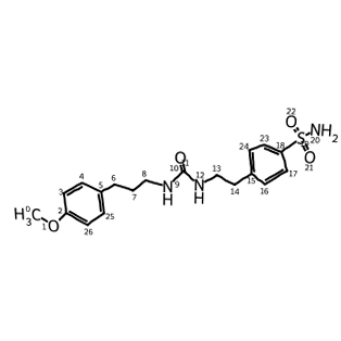 COc1ccc(CCCNC(=O)NCCc2ccc(S(N)(=O)=O)cc2)cc1